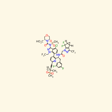 CC(C)(C#Cc1ccc(-c2ccc(Cl)c3c(N(C(=O)N4CCOC[C@H]4C(=O)O)S(C)(=O)=O)nn(CC(F)(F)F)c23)c([C@H](Cc2cc(F)cc(F)c2)NC(=O)Cn2nc(C(F)(F)F)c3c2C(F)(F)[C@@H]2C[C@H]32)n1)S(C)(=O)=O